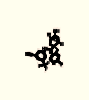 N#Cc1cc(NC(=O)[C@@]2(Cc3ccnc(F)c3)C[C@H]3O[C@@H]2C[C@@H]3O)cc(C(F)(F)F)c1